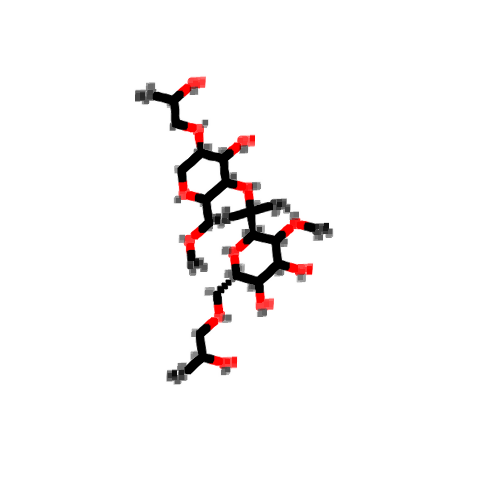 COCC1OC[C@@H](OCC(C)O)C(O)C1OC(C)(C)[C@@H]1O[C@@H](COCC(C)O)C(O)C(O)C1OC